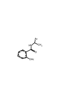 CC(=O)Oc1ccccc1C(=O)NC(C)C(C)=O